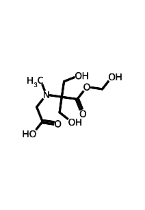 CN(CC(=O)O)C(CO)(CO)C(=O)OCO